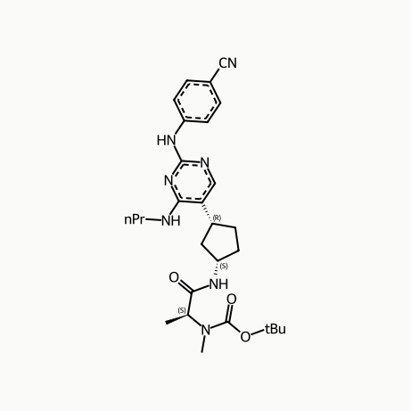 CCCNc1nc(Nc2ccc(C#N)cc2)ncc1[C@@H]1CC[C@H](NC(=O)[C@H](C)N(C)C(=O)OC(C)(C)C)C1